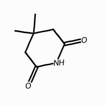 CC1(C)CC(=O)NC(=O)C1